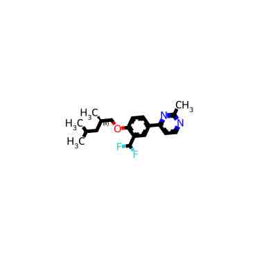 Cc1nccc(-c2ccc(OC[C@H](C)CC(C)C)c(C(F)F)c2)n1